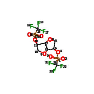 O=S(=O)(O[C@@H]1COC2C1OC[C@H]2OS(=O)(=O)C(F)(F)F)C(F)(F)F